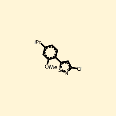 COc1cc(C(C)C)ccc1-c1cc(Cl)ns1